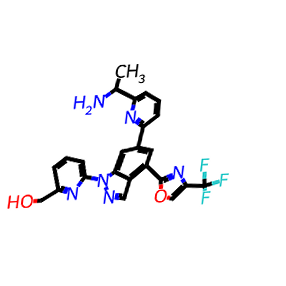 CC(N)c1cccc(-c2cc(-c3nc(C(F)(F)F)co3)c3cnn(-c4cccc(CO)n4)c3c2)n1